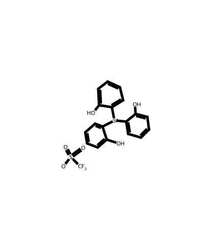 O=S(=O)([O-])C(F)(F)F.Oc1ccccc1[S+](c1ccccc1O)c1ccccc1O